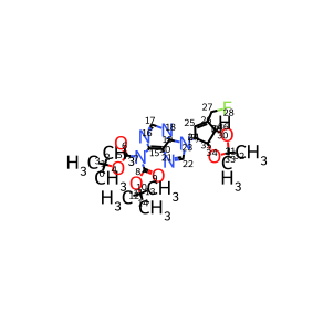 CC(C)(C)OC(=O)N(C(=O)OC(C)(C)C)c1ncnc2c1ncn2[C@@H]1C=C(CF)[C@H]2OC(C)(C)OC21